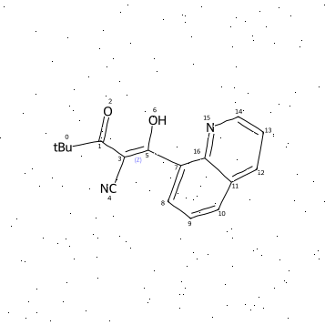 CC(C)(C)C(=O)/C(C#N)=C(\O)c1cccc2cccnc12